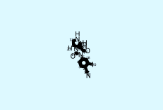 N#Cc1ccc(N2C(=O)[C@@H]3[C@H]4C[C@H](CN4)N3C2=O)cc1I